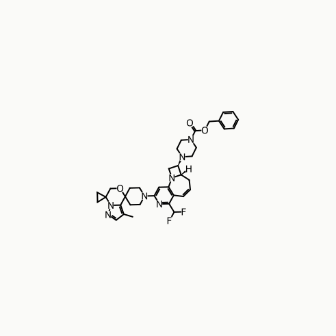 Cc1cnn2c1C1(CCN(c3cc4c(c(C(F)F)n3)C=CC[C@H]3[C@H](N5CCN(C(=O)OCc6ccccc6)CC5)CN43)CC1)OCC21CC1